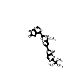 C[C@@H](NC(=O)c1ncnc2c1CC(=O)N2)c1cc(-c2nc3cnc(C(C)(C)C)nc3[nH]2)no1